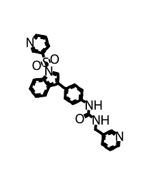 O=C(NCc1cccnc1)Nc1ccc(-c2cn(S(=O)(=O)c3cccnc3)c3ccccc23)cc1